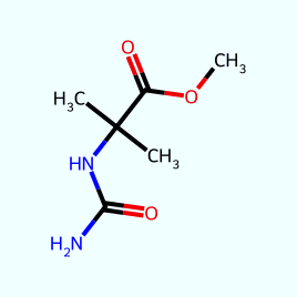 COC(=O)C(C)(C)NC(N)=O